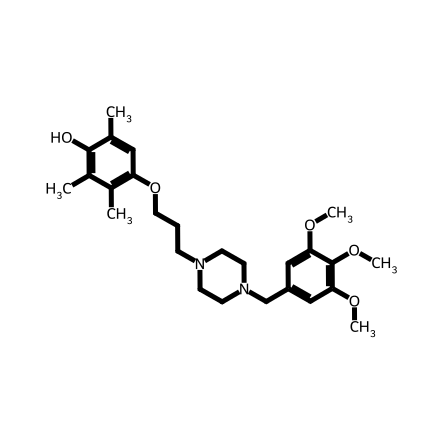 COc1cc(CN2CCN(CCCOc3cc(C)c(O)c(C)c3C)CC2)cc(OC)c1OC